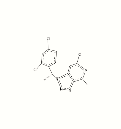 Cc1nc(Cl)cc2c1nnn2[C@H](C)c1ccc(Cl)cc1Cl